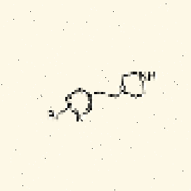 Brc1ccc(CCN2CCNCC2)cn1